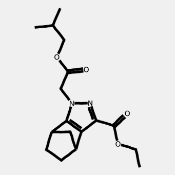 CCOC(=O)c1nn(CC(=O)OCC(C)C)c2c1C1CCC2C1